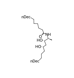 CCCCCCCCCCCCCCCC(=O)N[C@@H](C)[C@@H](O)C[C@@H](O)CCCCCCCCCCCCC